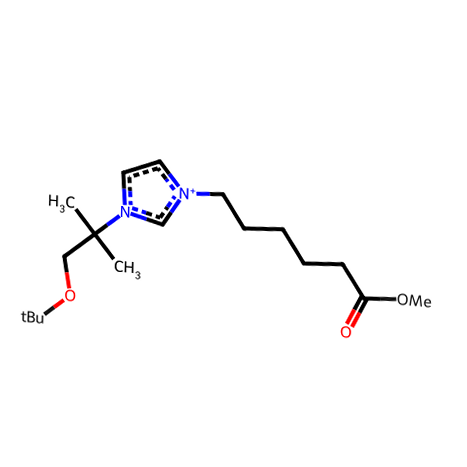 COC(=O)CCCCC[n+]1ccn(C(C)(C)COC(C)(C)C)c1